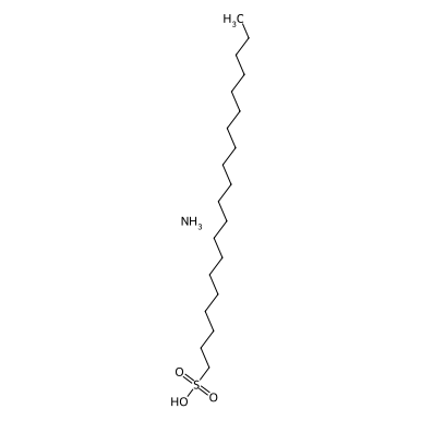 CCCCCCCCCCCCCCCCCCCCS(=O)(=O)O.N